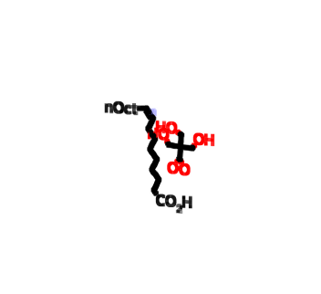 CCCCCCCC/C=C\CCCCCCCC(=O)O.OCC(CO)(CO)C1OO1